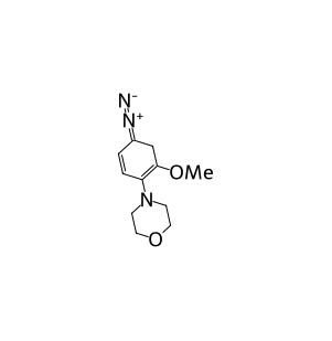 COC1=C(N2CCOCC2)C=CC(=[N+]=[N-])C1